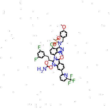 COc1ccc(CN(c2nn(C)c3c(-n4c(C(Cc5cc(F)cc(F)c5)OC(N)=O)nc5cc(-c6cccc(C(F)(F)F)n6)ccc5c4=O)ccc(Cl)c23)S(C)(=O)=O)cc1